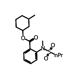 CCCS(=O)(=O)N(C)c1ccccc1C(=O)OC1CCCC(C)C1